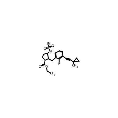 CCS(=O)(=O)NC1CCN(C(=O)OCC(F)(F)F)C1Cc1cccc(C#CC2(C)CC2)c1F